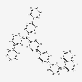 c1ccc(-c2ccc(N(c3ccc(-c4ccc(-c5cccc(-c6cccc7ccccc67)c5)cc4)cc3)c3cccc(-c4ccccc4)c3)cc2)cc1